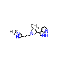 C[C@H]1C=C(c2c[nH]c3ncccc23)CN(CCCc2cnn(C)c2)C1